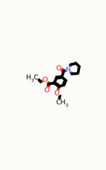 CCOC(=O)c1cc(C(=O)N2CCCCC2)ccc1OCC